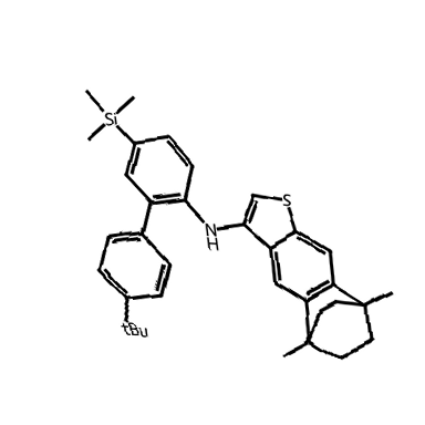 CC(C)(C)c1ccc(-c2cc([Si](C)(C)C)ccc2Nc2csc3cc4c(cc23)C2(C)CCC4(C)CC2)cc1